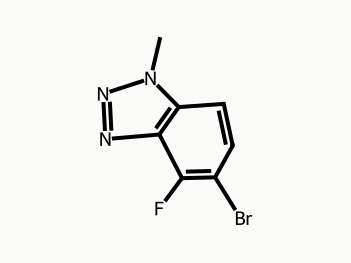 Cn1nnc2c(F)c(Br)ccc21